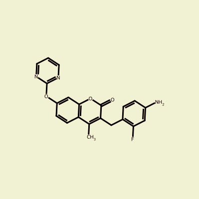 Cc1c(Cc2ccc(N)cc2F)c(=O)oc2cc(Oc3ncccn3)ccc12